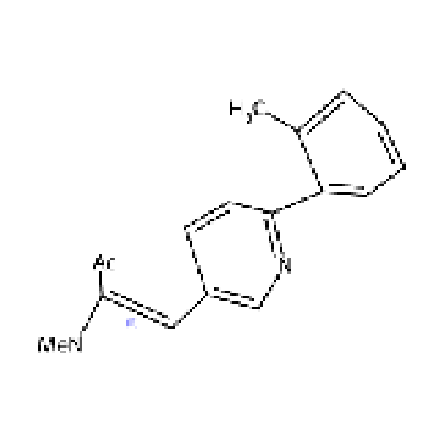 CN/C(=C/c1ccc(-c2ccccc2C)nc1)C(C)=O